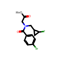 COC(=O)CN(CC1CC1F)C(=O)c1ccc(Br)cc1